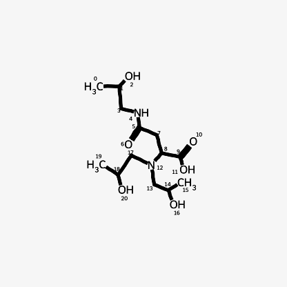 CC(O)CNC(=O)CC(C(=O)O)N(CC(C)O)CC(C)O